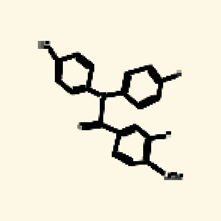 COc1ccc(C(=O)N(c2ccc(O)cc2)c2ccc(F)cc2)cc1F